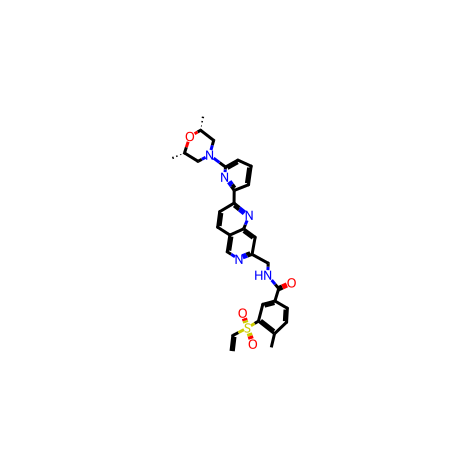 C=CS(=O)(=O)c1cc(C(=O)NCc2cc3nc(-c4cccc(N5C[C@@H](C)O[C@@H](C)C5)n4)ccc3cn2)ccc1C